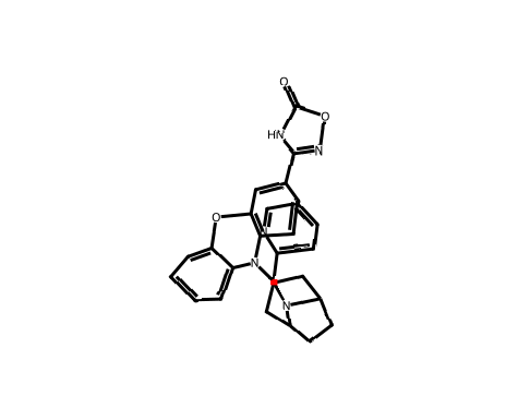 O=c1[nH]c(-c2ccc3c(c2)Oc2ccccc2N3C2CC3CCC(C2)N3Cc2ccccn2)no1